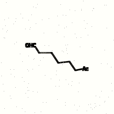 CC(=O)CCCCCC=O